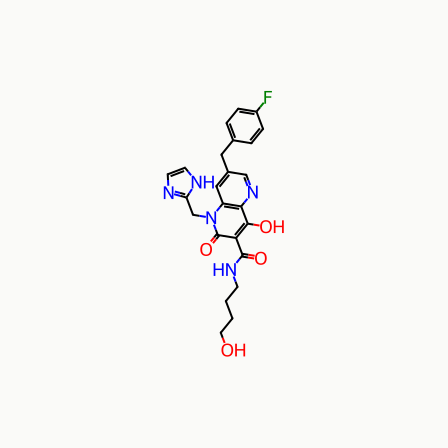 O=C(NCCCCO)c1c(O)c2ncc(Cc3ccc(F)cc3)cc2n(Cc2ncc[nH]2)c1=O